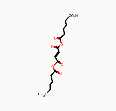 O=C(O)CCCCC(=O)OC(=O)/C=C/C(=O)OC(=O)CCCCC(=O)O